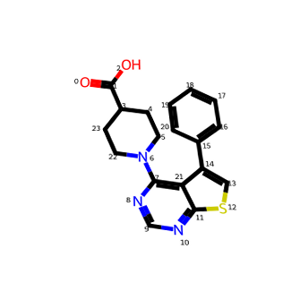 O=C(O)C1CCN(c2ncnc3scc(-c4ccccc4)c23)CC1